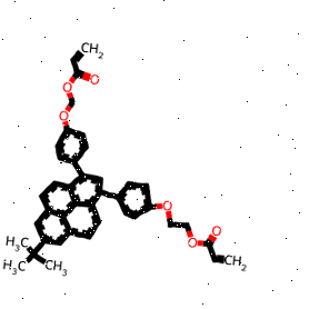 C=CC(=O)OCCOc1ccc(-c2cc(-c3ccc(OCOC(=O)C=C)cc3)c3ccc4cc(C(C)(C)C)cc5ccc2c3c54)cc1